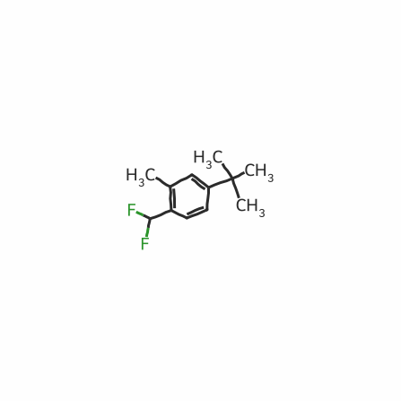 Cc1cc(C(C)(C)C)ccc1C(F)F